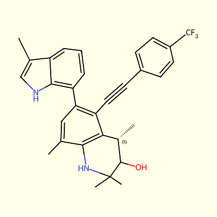 Cc1cc(-c2cccc3c(C)c[nH]c23)c(C#Cc2ccc(C(F)(F)F)cc2)c2c1NC(C)(C)C(O)[C@H]2C